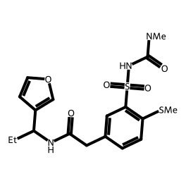 CCC(NC(=O)Cc1ccc(SC)c(S(=O)(=O)NC(=O)NC)c1)c1ccoc1